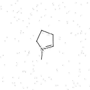 C[N+]1=CCCC1